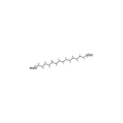 CCCCCCCCCCCCCCCCCCCCCCCCNC